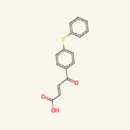 O=C(O)C=CC(=O)c1ccc(Sc2ccccc2)cc1